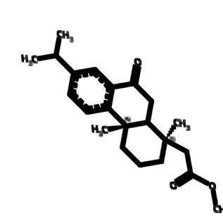 COC(=O)C[C@@]1(C)CCC[C@]2(C)c3ccc(C(C)C)cc3C(=O)CC12